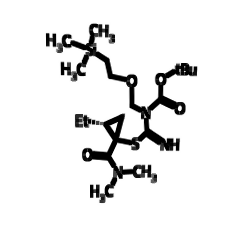 CC[C@@H]1CC1(SC(=N)N(COCC[Si](C)(C)C)C(=O)OC(C)(C)C)C(=O)N(C)C